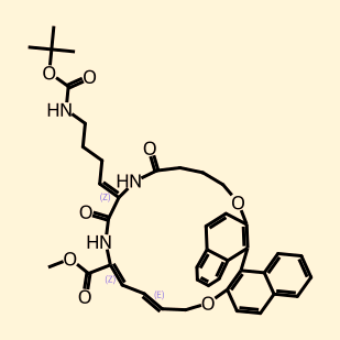 COC(=O)/C1=C/C=C/COc2ccc3ccccc3c2-c2c(ccc3ccccc23)OCCCC(=O)N/C(=C\CCCNC(=O)OC(C)(C)C)C(=O)N1